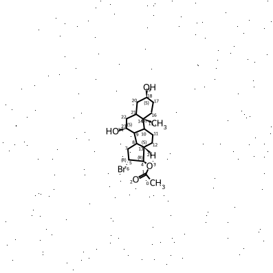 CC(=O)O[C@H]1[C@H](Br)CC2C3C(CC[C@@H]21)[C@@]1(C)CC[C@H](O)CC1C[C@@H]3O